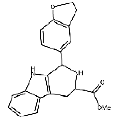 COC(=O)C1Cc2c([nH]c3ccccc23)C(c2ccc3c(c2)CCO3)N1